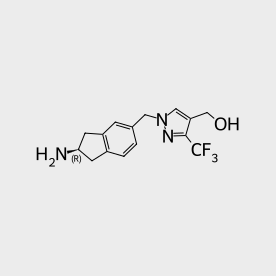 N[C@@H]1Cc2ccc(Cn3cc(CO)c(C(F)(F)F)n3)cc2C1